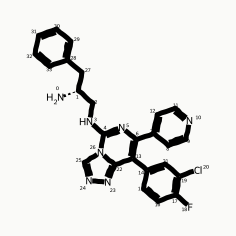 N[C@@H](CNc1nc(-c2ccncc2)c(-c2ccc(F)c(Cl)c2)c2nncn12)Cc1ccccc1